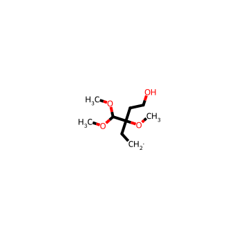 [CH2]CC(CCO)(OC)C(OC)OC